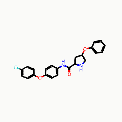 O=C(Nc1ccc(Oc2ccc(F)cc2)cc1)C1CC(Oc2ccccc2)CN1